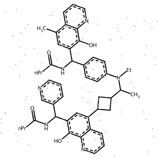 CCCC(=O)NC(c1ccc(N(CC)C(C)C2CC(c3cc(C(NC(=O)CCC)c4cccnc4)c(O)c4ncccc34)C2)cc1)c1cc(C)c2cccnc2c1O